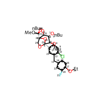 CCCCO[C@@H]1[C@@H](OCCCC)[C@@]2(c3ccc(Cl)c(Cc4ccc(OCC)c(F)c4)c3)OC[C@](C(=O)OC)(O2)[C@H]1OCCCC